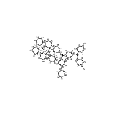 Cc1ccc(N(c2ccc(C)cc2)c2ccc3c(c2)c2cc(-c4ccccc4)ccc2n3-c2cccc([Si]3(c4ccccc4)c4ccccc4[Si](c4ccccc4)(c4ccccc4)c4ccccc43)c2)cc1